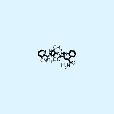 Cc1nn(Cc2ncccc2C#N)c(C)c1NC(=O)c1cc(C(N)=O)c2ccccc2n1